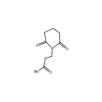 CC(C)(C)C(=O)OCN1C(=O)CCCC1=O